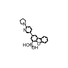 OB(O)c1cc(-c2ccc(N3CCCC3)nc2)cc2c1oc1ccccc12